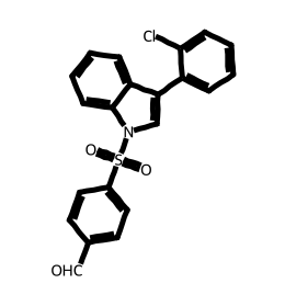 O=Cc1ccc(S(=O)(=O)n2cc(-c3ccccc3Cl)c3ccccc32)cc1